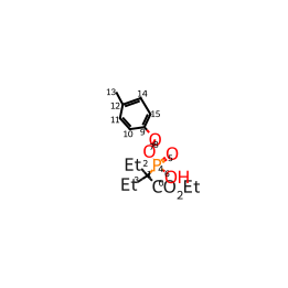 CCOC(=O)C(CC)(CC)P(=O)(O)OOc1ccc(C)cc1